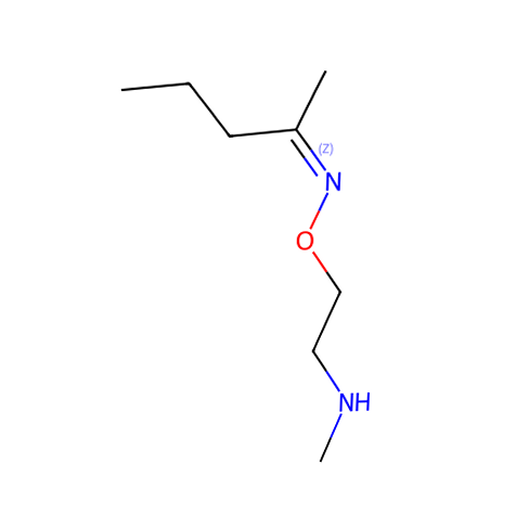 CCC/C(C)=N\OCCNC